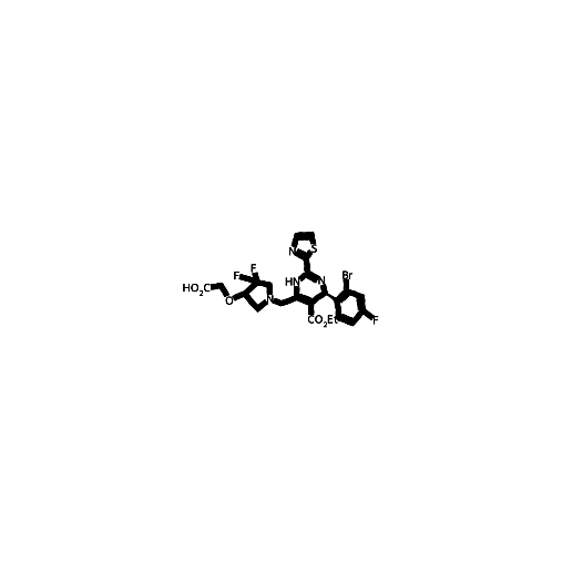 CCOC(=O)C1=C(CN2CC(OCC(=O)O)C(F)(F)C2)NC(c2nccs2)=N[C@H]1c1ccc(F)cc1Br